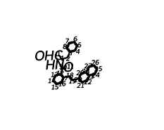 O=CC(Cc1ccccc1)NC(=O)c1ccccc1C=Cc1ccc2ccccc2c1